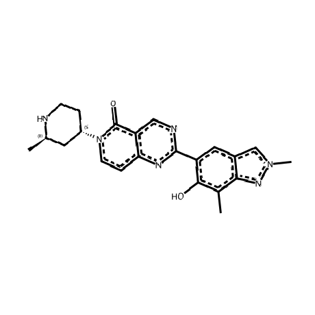 Cc1c(O)c(-c2ncc3c(=O)n([C@H]4CCN[C@H](C)C4)ccc3n2)cc2cn(C)nc12